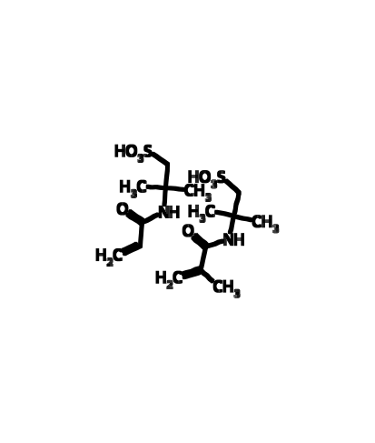 C=C(C)C(=O)NC(C)(C)CS(=O)(=O)O.C=CC(=O)NC(C)(C)CS(=O)(=O)O